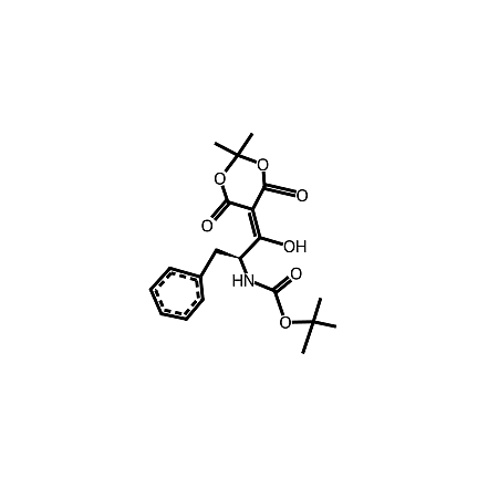 CC(C)(C)OC(=O)N[C@@H](Cc1ccccc1)C(O)=C1C(=O)OC(C)(C)OC1=O